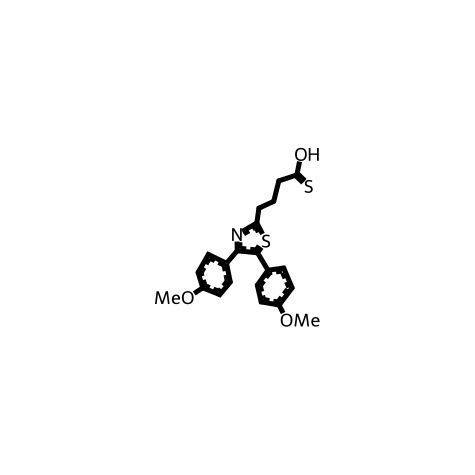 COc1ccc(-c2nc(CCCC(O)=S)sc2-c2ccc(OC)cc2)cc1